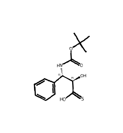 CC(C)(C)OC(=O)N[C@@H](c1ccccc1)[C@@H](O)C(O)=S